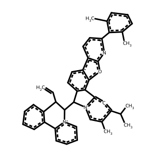 C=CC1c2ccccc2-c2cccc[n+]2C1C1c2ccc3c(oc4nc(-c5c(C)cccc5C)ccc43)c2-c2cc(C(C)C)c(C)c[n+]21